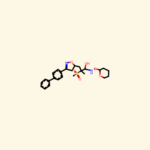 CC(CC1CC(c2ccc(-c3ccccc3)cc2)=NO1)(C(O)NOC1CCCCO1)S(C)(=O)=O